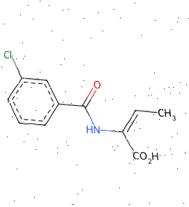 CC=C(NC(=O)c1cccc(Cl)c1)C(=O)O